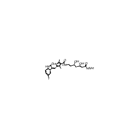 CNC(=O)C[C@H](O)C[C@H](O)CCNC(=O)c1c(C)[nH]c(/C=C2\C(=O)Nc3ccc(F)cc32)c1C